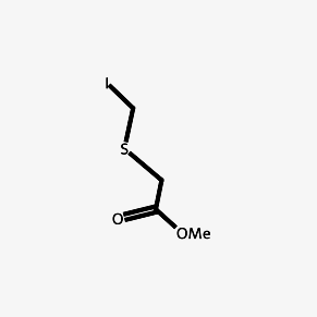 COC(=O)CSCI